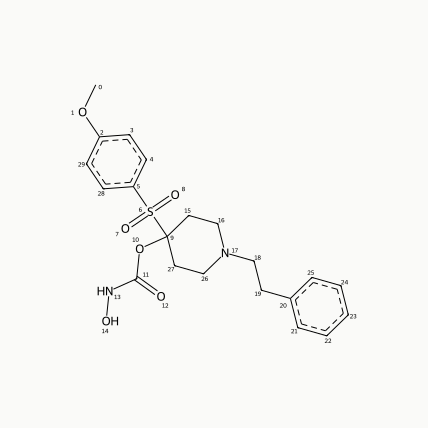 COc1ccc(S(=O)(=O)C2(OC(=O)NO)CCN(CCc3ccccc3)CC2)cc1